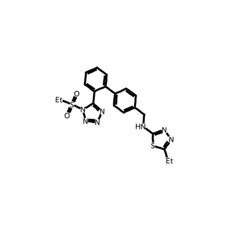 CCc1nnc(NCc2ccc(-c3ccccc3-c3nnnn3S(=O)(=O)CC)cc2)s1